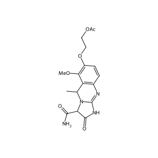 COc1c(OCCOC(C)=O)ccc2c1C(C)N1C(=N2)NC(=O)C1C(N)=O